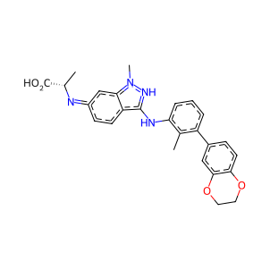 Cc1c(Nc2[nH]n(C)c3cc(=N[C@@H](C)C(=O)O)ccc2-3)cccc1-c1ccc2c(c1)OCCO2